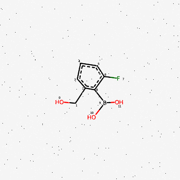 OCc1cccc(F)c1B(O)O